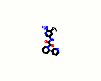 Cc1cc(NC(=O)C(=O)N2CCCC[C@H]2c2cccnc2)cnc1N